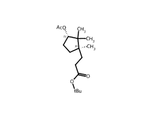 CC(=O)O[C@H]1CC[C@](C)(CCC(=O)OC(C)(C)C)C1(C)C